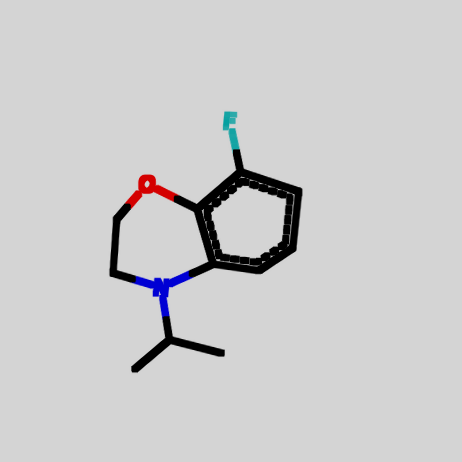 CC(C)N1CCOc2c(F)cccc21